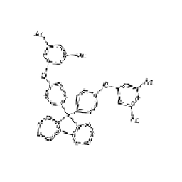 CC(=O)c1cc(Oc2ccc(C3(c4ccc(Oc5cc(C(C)=O)cc(C(C)=O)c5)cc4)c4ccccc4-c4ccccc43)cc2)cc(C(C)=O)c1